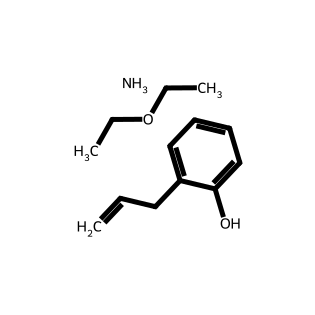 C=CCc1ccccc1O.CCOCC.N